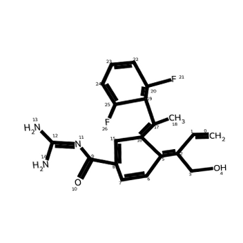 C=C/C(CO)=c1/ccc(C(=O)N=C(N)N)c/c1=C(/C)c1c(F)cccc1F